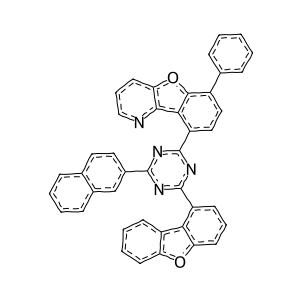 c1ccc(-c2ccc(-c3nc(-c4ccc5ccccc5c4)nc(-c4cccc5oc6ccccc6c45)n3)c3c2oc2cccnc23)cc1